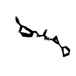 N#Cc1cc(CNC(=O)N[C@@H]2C[C@H]2c2ccccc2)ccn1